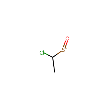 CC(Cl)[S+]=O